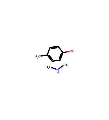 CNC.Cc1ccc(O)cc1